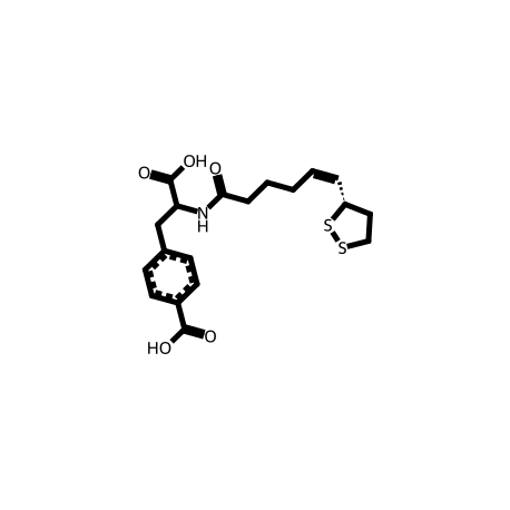 O=C(CCC/C=C\[C@@H]1CCSS1)NC(Cc1ccc(C(=O)O)cc1)C(=O)O